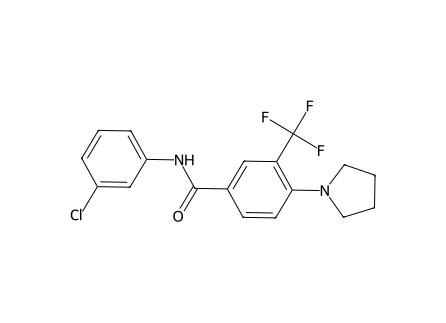 O=C(Nc1cccc(Cl)c1)c1ccc(N2CCCC2)c(C(F)(F)F)c1